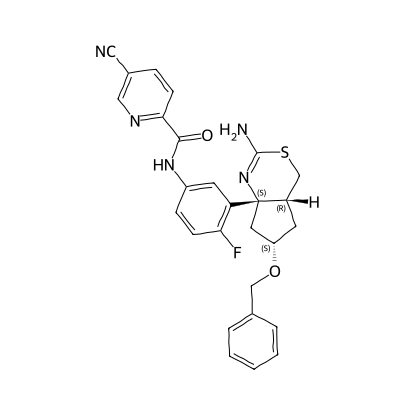 N#Cc1ccc(C(=O)Nc2ccc(F)c([C@]34C[C@@H](OCc5ccccc5)C[C@H]3CSC(N)=N4)c2)nc1